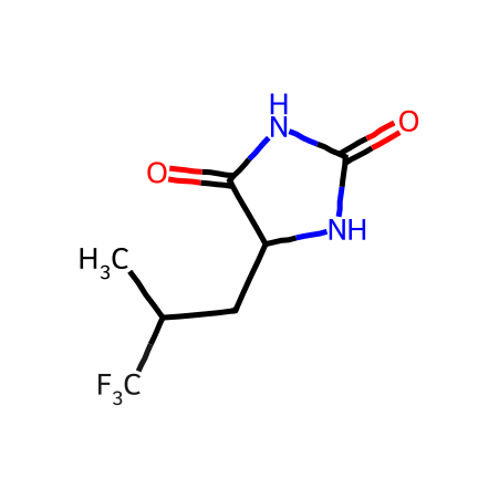 CC(CC1NC(=O)NC1=O)C(F)(F)F